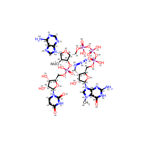 CO[C@@H]1[C@H](OP(=O)(O)OC[C@H]2O[C@@H](n3ccc(=O)[nH]c3=O)[C@H](O)[C@@H]2O)[C@@H](COP(=O)(O)OP(=O)(O)OP(=O)(O)OC[C@H]2O[C@@H](n3c[n+](C)c4c(=O)[nH]c(N)nc43)[C@H](O)[C@@H]2CN=[N+]=[N-])O[C@H]1n1cnc2c(N)ncnc21